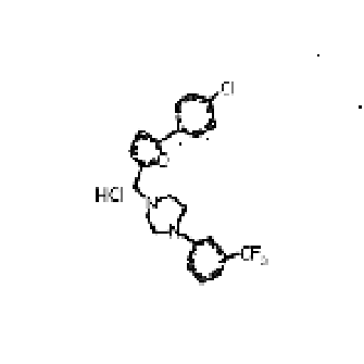 Cl.FC(F)(F)c1cccc(N2CCN(Cc3ccc(-c4ccc(Cl)cc4)o3)CC2)c1